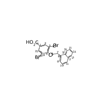 O=C(O)c1cc(Br)c(OCc2cccc3ccccc23)c(Br)c1